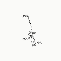 CCCCCCCCCCCCCCCCCCCC(=O)NC(CCCNC(=N)N)C(=O)NCCCCCCCC